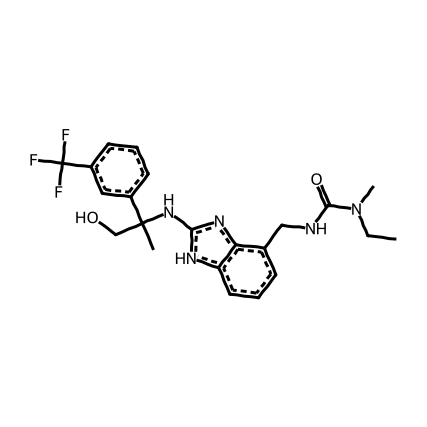 CCN(C)C(=O)NCc1cccc2[nH]c(NC(C)(CO)c3cccc(C(F)(F)F)c3)nc12